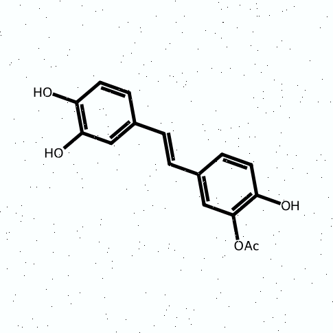 CC(=O)Oc1cc(C=Cc2ccc(O)c(O)c2)ccc1O